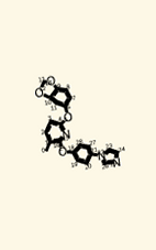 Cc1ccc(Oc2ccc3c(c2)OCO3)nc1Oc1ccc(-n2ccnc2)cc1